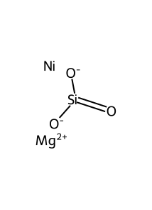 O=[Si]([O-])[O-].[Mg+2].[Ni]